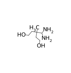 CC(CCO)(CCO)C(N)N